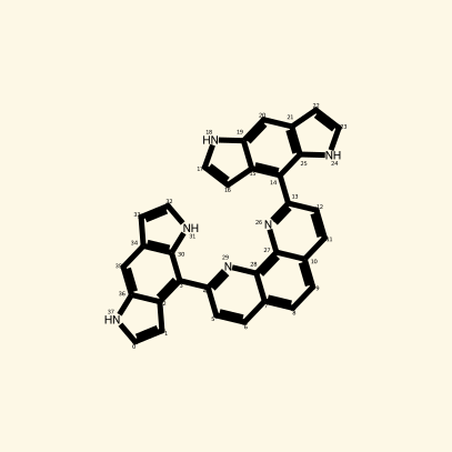 c1cc2c(-c3ccc4ccc5ccc(-c6c7cc[nH]c7cc7cc[nH]c67)nc5c4n3)c3[nH]ccc3cc2[nH]1